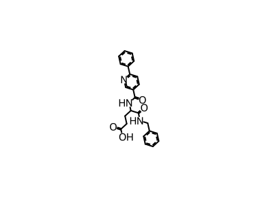 O=C(O)CCC(NC(=O)c1ccc(-c2ccccc2)nc1)C(=O)NCc1ccccc1